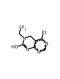 CCc1ncnc2c1CN(CC(F)(F)F)C(O)=N2